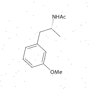 COc1cccc(C[C@@H](C)NC(C)=O)c1